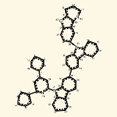 c1ccc(-c2cc(-c3ccccc3)nc(-n3c4ccccc4c4ccc(-c5ccc6c(c5)c5ccccc5n6-c5ccc6oc7cccnc7c6c5)cc43)c2)cc1